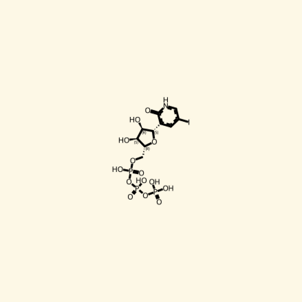 O=c1[nH]cc(I)cc1[C@@H]1O[C@H](COP(=O)(O)OP(=O)(O)OP(=O)(O)O)[C@@H](O)[C@H]1O